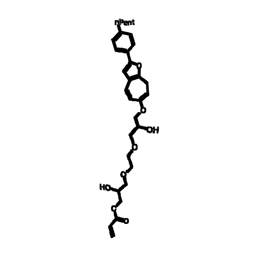 C=CC(=O)OCC(O)COCCOCC(O)COC1=CCc2oc(-c3ccc(CCCCC)cc3)cc2C=C1